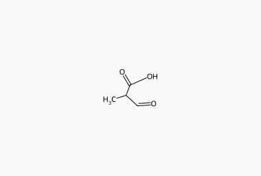 CC(C=O)C(=O)O